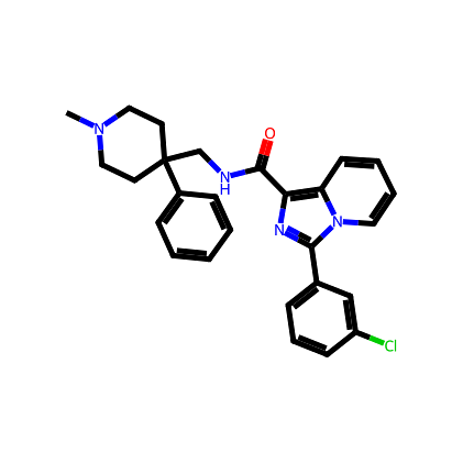 CN1CCC(CNC(=O)c2nc(-c3cccc(Cl)c3)n3ccccc23)(c2ccccc2)CC1